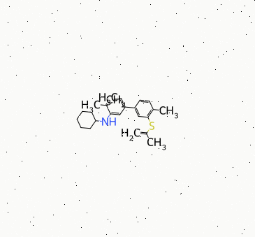 C=C(C)Sc1cc(C(/C=C(/NC2CCCCC2)C(=C)C)=C/C)ccc1C